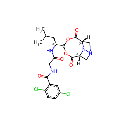 CC(C)C[C@H](NC(=O)CNC(=O)c1cc(Cl)ccc1Cl)B1OC(=O)[C@H]2CN3C[C@@H](C(=O)O1)N23